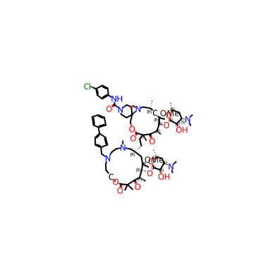 CO[C@]1(C)C[C@@H](CC[C@]2(C)C(=O)OCC3(CCN(C(=O)Nc4ccc(Cl)cc4)CC3)N(C)C[C@H](C)C[C@@](C)(OC)[C@H](O[C@@H]3O[C@H](C)C[C@H](N(C)C)[C@H]3O)[C@@H](C)C2=O)CN(C)CCN(Cc2ccc(-c3ccccc3)cc2)CCCOC(=O)C(C)(C)C(=O)[C@H](C)[C@H]1O[C@@H]1O[C@H](C)C[C@H](N(C)C)[C@H]1O